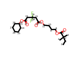 CCC(C)(C)C(=O)OCCCCOC(=O)CC(F)(F)CC(=O)OC1CCCCC1